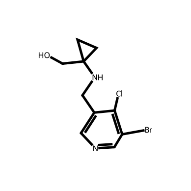 OCC1(NCc2cncc(Br)c2Cl)CC1